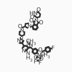 C[C@H](Oc1cc(-c2nn(C)c3c(-c4cnn(C5CCN(C(=O)C6CCN(c7cccc8c7C(=O)N(C7CCC(=O)NC7=O)C8=O)C6)CC5)c4)cnc(N)c23)ccc1NS(=O)(=O)C(F)F)c1ccc(F)cc1